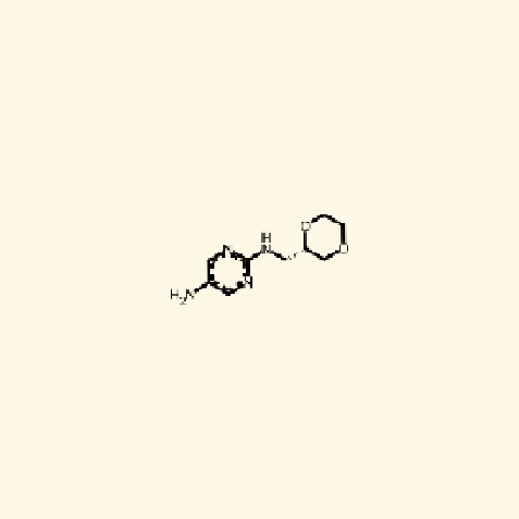 Nc1cnc(NC[C@H]2COCCO2)nc1